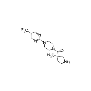 CC1(C(=O)N2CCN(c3ncc(C(F)(F)F)cn3)CC2)CCNC1